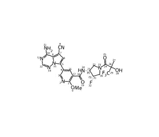 COc1ncc(-c2cc(C#N)c3c(N)ncnn23)cc1C(=O)N[C@@H]1CN(C(=O)C(C)(O)C(F)(F)F)C[C@@H]1F